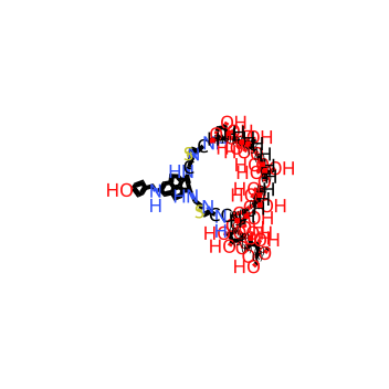 CO[C@H]1C(O)C(O)[C@@H](O[C@H]2C(O)C(O)[C@@H](O[C@H]3C(O)C(O)[C@@H]4O[C@@H]3CNCc3csc(n3)CNc3cc(c5ccc6cc(NCc7ccc(O)cc7)cc7ccc3c5c67)NCc3nc(cs3)CNC[C@H]3OCC(O)C(O)[C@@H]3O[C@H]3O[C@H](CO)[C@@H](O[C@H]5O[C@H](CO)[C@@H](O[C@H]6O[C@H](CO)[C@@H](O4)C(O)C6O)C(O)C5O)C(O)C3O)O[C@@H]2CO)O[C@@H]1CO